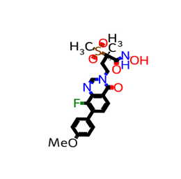 COc1ccc(-c2ccc3c(=O)n(CC[C@](C)(C(=O)NO)S(C)(=O)=O)cnc3c2F)cc1